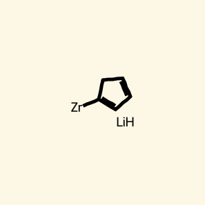 [LiH].[Zr][C]1=CC=CC1